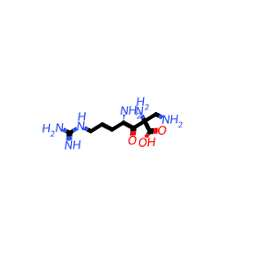 N=C(N)NCCC[C@H](N)C(=O)C(N)(CN)C(=O)O